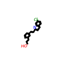 OCC=Cc1cccc(C=Cc2ccc3ccc(Cl)cc3n2)c1